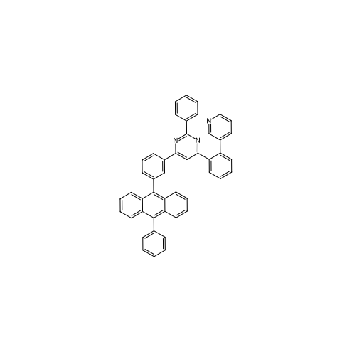 c1ccc(-c2nc(-c3cccc(-c4c5ccccc5c(-c5ccccc5)c5ccccc45)c3)cc(-c3ccccc3-c3cccnc3)n2)cc1